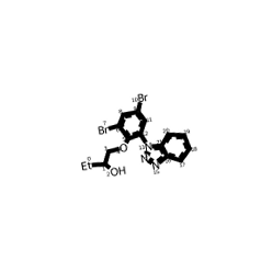 CCC(O)COc1c(Br)cc(Br)cc1-n1nnc2ccccc21